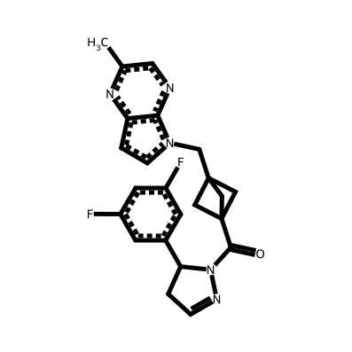 Cc1cnc2c(ccn2CC23CC(C(=O)N4N=CCC4c4cc(F)cc(F)c4)(C2)C3)n1